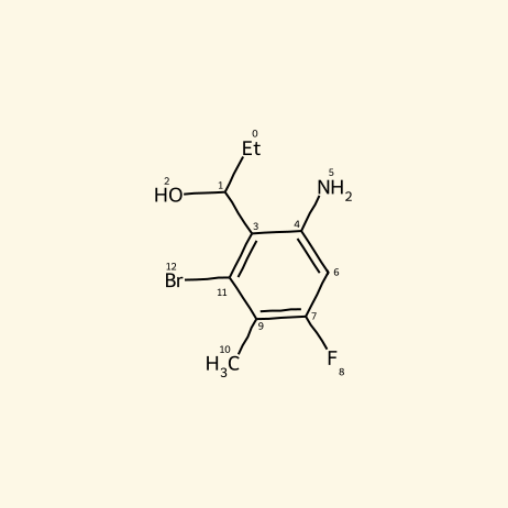 CCC(O)c1c(N)cc(F)c(C)c1Br